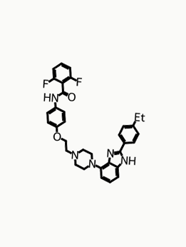 CCc1ccc(-c2nc3c(N4CCN(CCOc5ccc(NC(=O)c6c(F)cccc6F)cc5)CC4)cccc3[nH]2)cc1